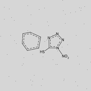 O=[N+]([O-])n1nnnc1S.c1ccccc1